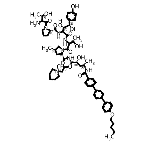 CCCCCOc1ccc(-c2ccc(-c3ccc(C(=O)N[C@H](C)C[C@@H](O)[C@H](NC(=O)[C@@H]4C[C@@H](C)CN4C(=O)C(NC(=O)C(NC(=O)[C@@H]4CCCN4C(=O)C(N)[C@@H](C)O)[C@H](O)[C@@H](O)c4ccc(O)cc4)[C@@H](C)O)OCC[N+]4(C)CCCCC4)cc3)cc2)cc1